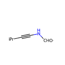 CC(C)C#CN[C]=O